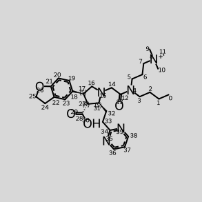 CCCCN(CCC[N+](C)(C)C)C(=O)CN1C[C@H](c2ccc3c(c2)CCO3)[C@@H](C(=O)O)[C@@H]1CCc1ncccn1